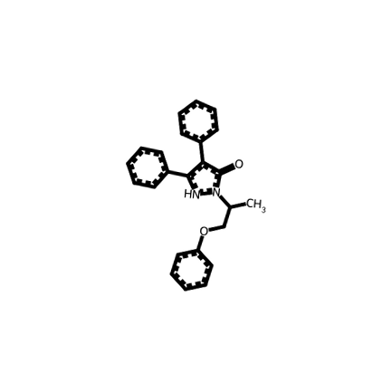 CC(COc1ccccc1)n1[nH]c(-c2ccccc2)c(-c2ccccc2)c1=O